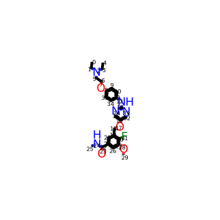 CCN(CC)CCOc1ccc(Nc2ncc(OCc3cc(C(=O)NC)cc(OC)c3F)cn2)cc1